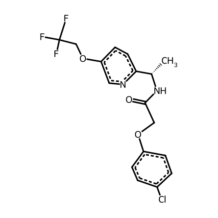 C[C@H](NC(=O)COc1ccc(Cl)cc1)c1ccc(OCC(F)(F)F)cn1